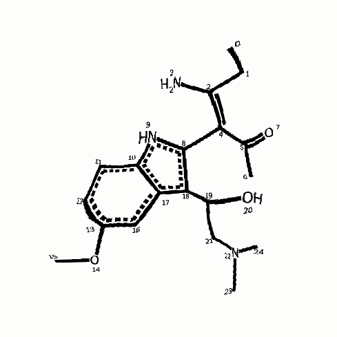 CCC(N)=C(C(C)=O)c1[nH]c2ccc(OC)cc2c1C(O)CN(C)C